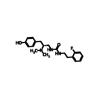 CN(C)[C@H](CNC(=O)NCCc1ccccc1F)Cc1ccc(O)cc1